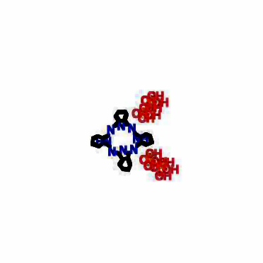 O=P(O)(O)O.O=P(O)(O)O.O=P(O)(O)O.O=P(O)(O)O.c1ccc2c(c1)-c1nc-2nc2[nH]c(nc3nc(nc4[nH]c(n1)c1ccccc41)-c1ccccc1-3)c1ccccc21